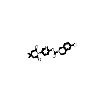 CC1(C)CC(=O)N(c2ccc(OC(=O)N3CCc4cc(Cl)ccc4C3)nc2)C(=O)C1